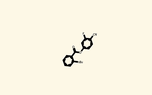 CCCCc1ccccc1C(=O)Oc1ccc(C#N)c(F)c1